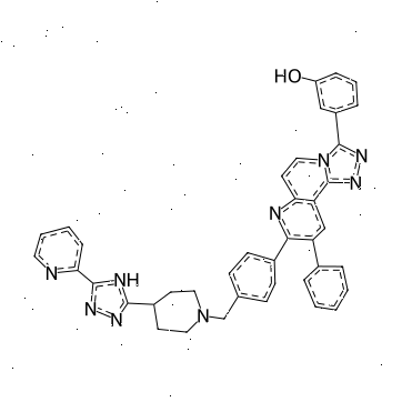 Oc1cccc(-c2nnc3c4cc(-c5ccccc5)c(-c5ccc(CN6CCC(c7nnc(-c8ccccn8)[nH]7)CC6)cc5)nc4ccn23)c1